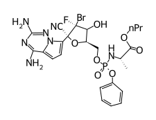 CCCOC(=O)[C@H](C)NP(=O)(OC[C@H]1O[C@@](C#N)(c2ccc3c(N)nc(N)nn23)[C@@](F)(Br)C1O)Oc1ccccc1